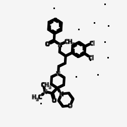 CN(C)C(=O)C1(N2CCOCC2)CCN(CCC(CN(C)C(=O)c2ccccc2)c2ccc(Cl)c(Cl)c2)CC1